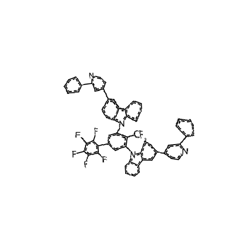 Fc1c(F)c(F)c(-c2cc(-n3c4ccccc4c4cc(-c5ccnc(-c6ccccc6)c5)ccc43)c(C(F)(F)F)c(-n3c4ccccc4c4cc(-c5ccnc(-c6ccccc6)c5)ccc43)c2)c(F)c1F